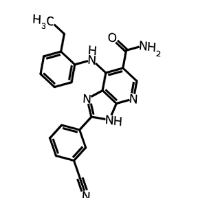 CCc1ccccc1Nc1c(C(N)=O)cnc2[nH]c(-c3cccc(C#N)c3)nc12